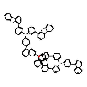 C=C(/C=C\c1c(C)cccc1-c1ccc(N(c2cccc(-c3cccc4c3oc3ccccc34)c2)c2cccc(-c3cccc4c3sc3ccccc34)c2)cc1)c1ccc2oc3c(-c4cccc(N(c5ccc(-c6cccc7ccccc67)cc5)c5cccc(-c6ccc7sc8ccccc8c7c6)c5)c4)cccc3c2c1